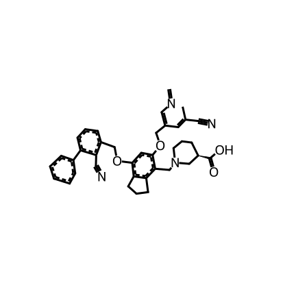 C=N/C=C(\C=C(/C)C#N)COc1cc(OCc2cccc(-c3ccccc3)c2C#N)c2c(c1CN1CCC[C@@H](C(=O)O)C1)CCC2